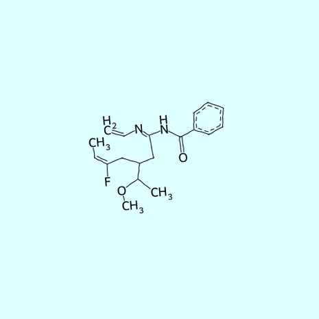 C=C/N=C(\CC(C/C(F)=C\C)C(C)OC)NC(=O)c1ccccc1